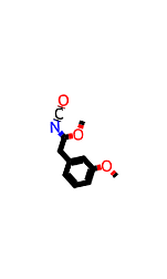 COc1cccc(CC(N=C=O)OC)c1